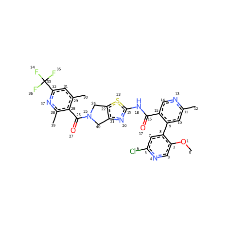 COc1cnc(Cl)cc1-c1cc(C)ncc1C(=O)Nc1nc2c(s1)CN(C(=O)c1c(C)cc(C(F)(F)F)nc1C)C2